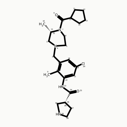 Cc1c(CN2CCN(C(=O)C3CCCC3)[C@@H](C)C2)cc(Cl)cc1NC(=O)[C@@H]1CCNC1